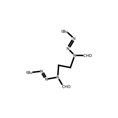 CC(C)(C)/N=N/N(C=O)CCN(C=O)/N=N/C(C)(C)C